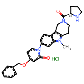 Cl.Cn1c2c(c3ccc(-n4ccc(OCc5ccccc5)cc4=O)cc31)CN(C(=O)[C@H]1CCCN1)CC2